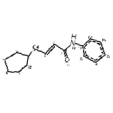 O=C(C=CSC1CCCCC1)Nc1ccccc1